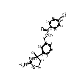 CC1(c2cccc(CNC(=O)c3ccc(Cl)cc3)c2)CCSC(N)=N1